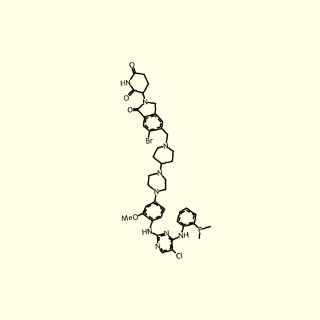 COc1cc(N2CCN(C3CCN(Cc4cc5c(cc4Br)C(=O)N(C4CCC(=O)NC4=O)C5)CC3)CC2)ccc1Nc1ncc(Cl)c(Nc2ccccc2P(C)C)n1